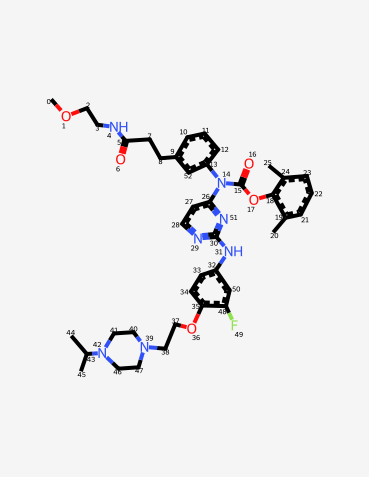 COCCNC(=O)CCc1cccc(N(C(=O)Oc2c(C)cccc2C)c2ccnc(Nc3ccc(OCCN4CCN(C(C)C)CC4)c(F)c3)n2)c1